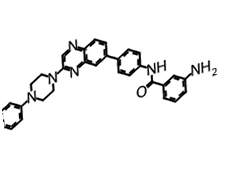 Nc1cccc(C(=O)Nc2ccc(-c3ccc4ncc(N5CCN(c6ccncc6)CC5)nc4c3)cc2)c1